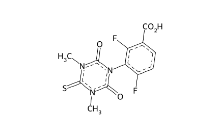 Cn1c(=S)n(C)c(=O)n(-c2c(F)ccc(C(=O)O)c2F)c1=O